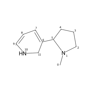 CN1CCCC1C1=CC=[C]NC1